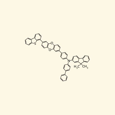 CC1(C)c2ccccc2-c2ccc(N(c3ccc(-c4ccccc4)cc3)c3ccc(-c4ccc5c(c4)Oc4ccc(-c6cccc7c6sc6ccccc67)cc4O5)cc3)cc21